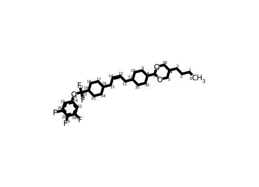 CCCCC1COC(C2CCC(C/C=C\CC3CCC(C(F)(F)Oc4cc(F)c(F)c(F)c4)CC3)CC2)OC1